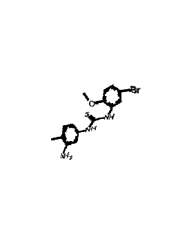 COc1ccc(Br)cc1NC(=S)Nc1ccc(C)c(N)c1